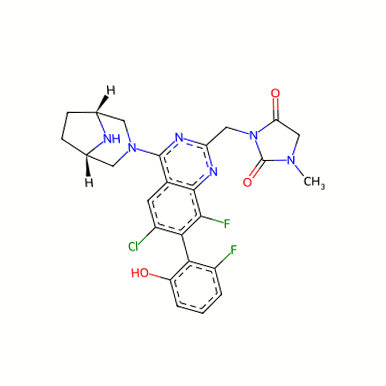 CN1CC(=O)N(Cc2nc(N3C[C@H]4CC[C@@H](C3)N4)c3cc(Cl)c(-c4c(O)cccc4F)c(F)c3n2)C1=O